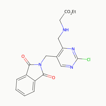 CCOC(=O)CNCc1nc(Cl)ncc1CN1C(=O)c2ccccc2C1=O